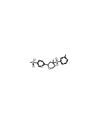 Cc1cccc(S(=O)(=O)C2(C)CCOC(c3ccc(S(C)(=O)=O)cn3)C2)c1